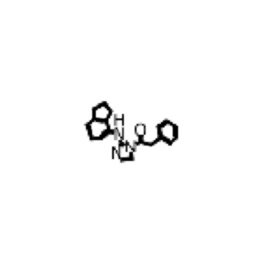 O=C(Cc1ccccc1)N1CCN=C1Nc1cccc2c1CCC2